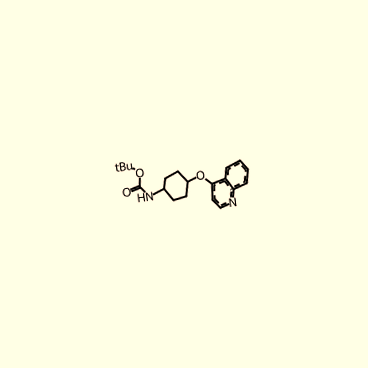 CC(C)(C)OC(=O)NC1CCC(Oc2ccnc3ccccc23)CC1